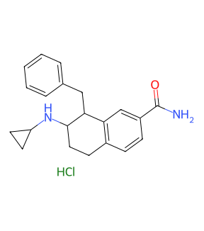 Cl.NC(=O)c1ccc2c(c1)C(Cc1ccccc1)C(NC1CC1)CC2